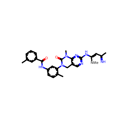 CN/C(=C\C(C)=N)Nc1ncc2c(n1)N(C)C(=O)N(c1cc(NC(=O)c3cccc(C)c3)ccc1C)C2